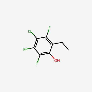 CCc1c(O)c(F)c(F)c(Cl)c1F